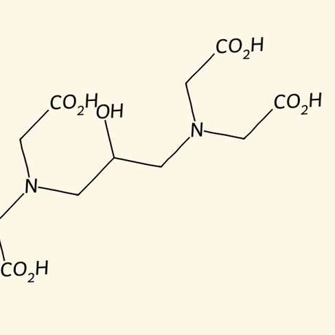 O=C(O)CN(CC(=O)O)CC(O)CN(CC(=O)O)CC(=O)O